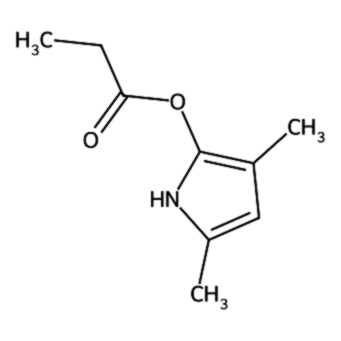 CCC(=O)Oc1[nH]c(C)cc1C